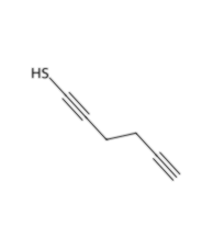 C#CCCC#CS